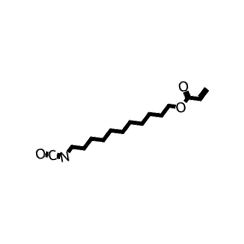 C=CC(=O)OCCCCCCCCCCCN=C=O